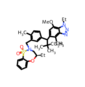 CC[C@@H]1CN(Cc2cc(C(c3cc(OC)c4c(nnn4CC)c3C)C(C)(C)C(=O)O)ccc2C)S(=O)(=O)c2ccccc2O1